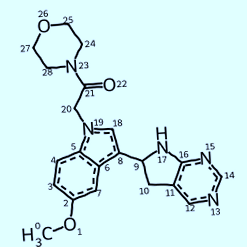 COc1ccc2c(c1)c(C1Cc3cncnc3N1)cn2CC(=O)N1CCOCC1